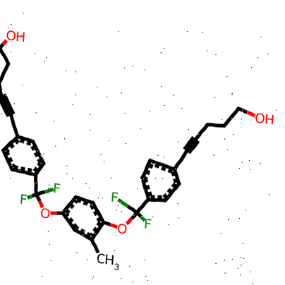 Cc1cc(OC(F)(F)c2ccc(C#CCCCO)cc2)ccc1OC(F)(F)c1ccc(C#CCCCO)cc1